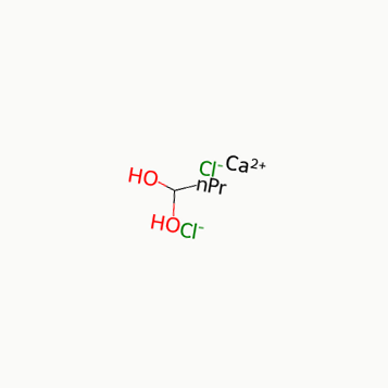 CCCC(O)O.[Ca+2].[Cl-].[Cl-]